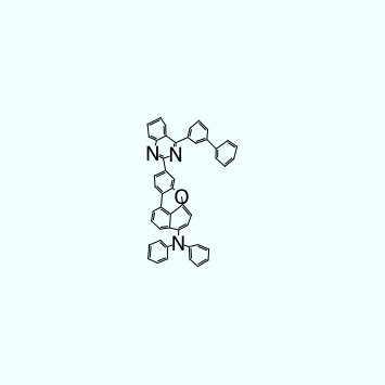 c1ccc(-c2cccc(-c3nc(-c4ccc5c(c4)Oc4ccc(N(c6ccccc6)c6ccccc6)c6cccc-5c46)nc4ccccc34)c2)cc1